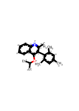 CCC(CC)Oc1c(-c2c(C)cc(C)cc2C)c(C)nc2ccccc12